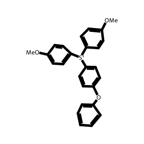 COc1ccc([S+](c2ccc(OC)cc2)c2ccc(Oc3ccccc3)cc2)cc1